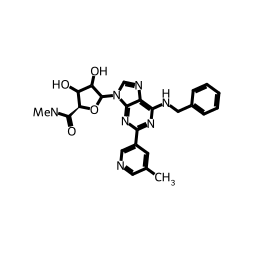 CNC(=O)[C@@H]1OC(n2cnc3c(NCc4ccccc4)nc(-c4cncc(C)c4)nc32)C(O)C1O